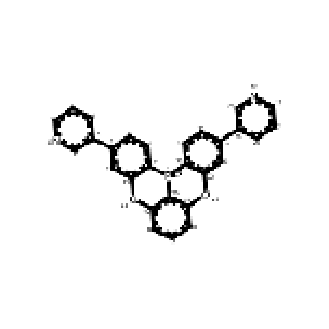 S=P12c3ccc(-c4cccnc4)cc3Oc3cccc(c31)Oc1cc(-c3cccnc3)ccc12